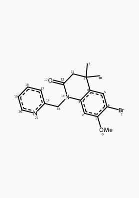 COc1cc2c(cc1Br)C(C)(C)CC(=O)N2Cc1ccccn1